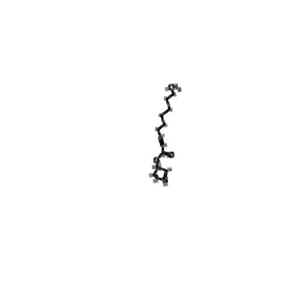 CCCCCCCC#CC(=O)On1ccnc1